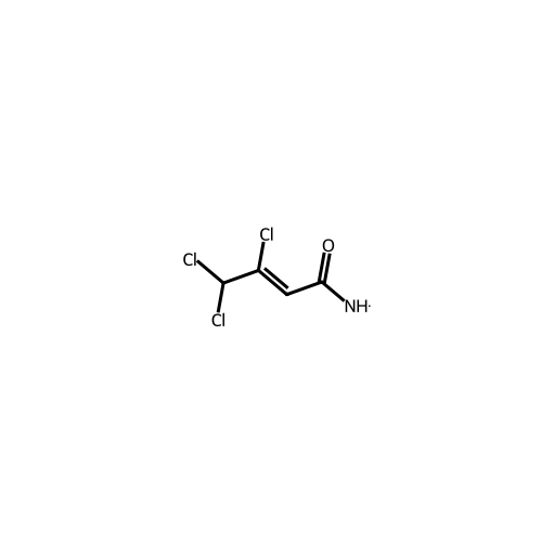 [NH]C(=O)/C=C(\Cl)C(Cl)Cl